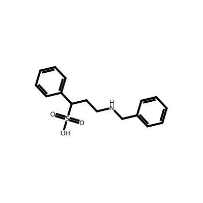 O=S(=O)(O)C(CCNCc1ccccc1)c1ccccc1